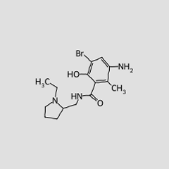 CCN1CCCC1CNC(=O)c1c(C)c(N)cc(Br)c1O